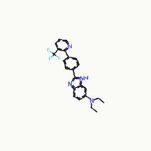 CCN(CC)c1ccc2nc(-c3ccc(-c4ncccc4C(F)(F)F)cc3)[nH]c2c1